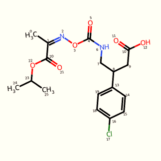 CC(=NOC(=O)NCC(CC(=O)O)c1ccc(Cl)cc1)C(=O)OC(C)C